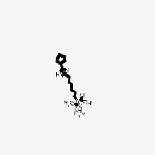 CC(C)(C)N(CCCCCCc1nc(-c2ccccc2)c[nH]1)C(=O)O